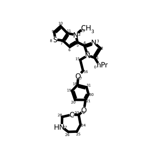 CCCc1cnc(-c2cc3sccc3n2C)n1CCOc1ccc(OC2CCCNCC2)cc1